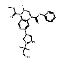 COC(=O)N1c2ccc(C3CNN(C(C)(C)CO)C3)cc2N(C(=O)Oc2ccccn2)C[C@@H]1C